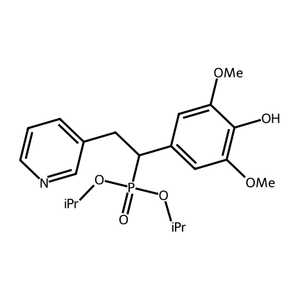 COc1cc(C(Cc2cccnc2)P(=O)(OC(C)C)OC(C)C)cc(OC)c1O